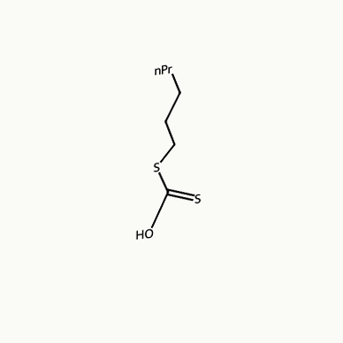 CCCCCCSC(O)=S